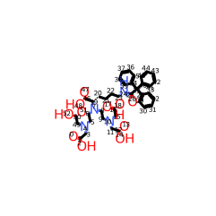 O=C(O)CN(CCN(CCN(CC(=O)O)CC(=O)O)[C@@H](CCCCNC(=O)C(c1ccccc1)(c1ccccc1)c1ccccc1)C(=O)O)CC(=O)O